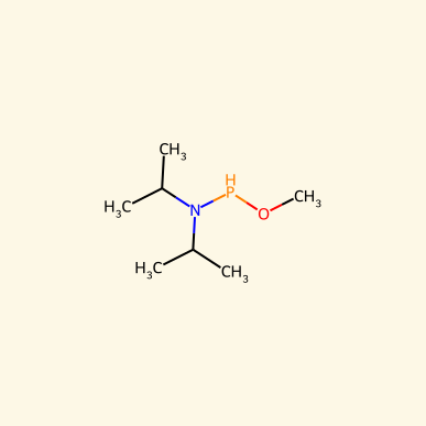 COPN(C(C)C)C(C)C